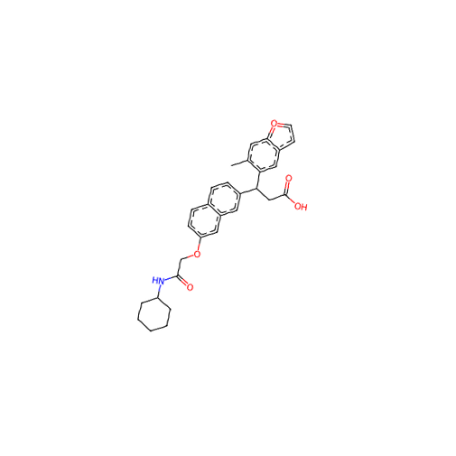 Cc1cc2occc2cc1C(CC(=O)O)c1ccc2ccc(OCC(=O)NC3CCCCC3)cc2c1